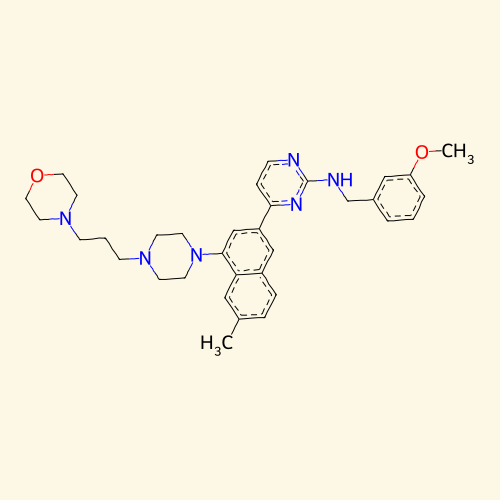 COc1cccc(CNc2nccc(-c3cc(N4CCN(CCCN5CCOCC5)CC4)c4cc(C)ccc4c3)n2)c1